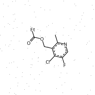 CCC(=O)OCc1c(C)ncc(F)c1Cl